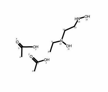 CC(=O)O.CC(=O)O.CCN(O)CCNO